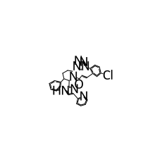 O=C(C=Cc1cc(Cl)ccc1-n1cnnn1)N1CCCC(c2ccccc2)C1c1nc(-c2ccccn2)c[nH]1